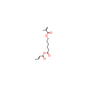 C=C(C)C(=O)OCCCCCC(=O)OC(=O)C=CC